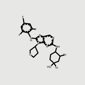 [2H]C1CC([2H])(O)CCC1Nc1ncc2nc(Nc3c(F)cc(F)cc3F)n(C3CCOC3)c2n1